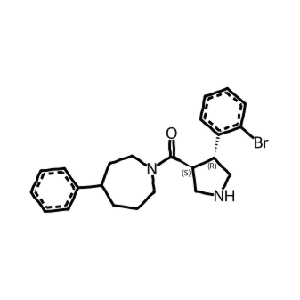 O=C([C@@H]1CNC[C@H]1c1ccccc1Br)N1CCCC(c2ccccc2)CC1